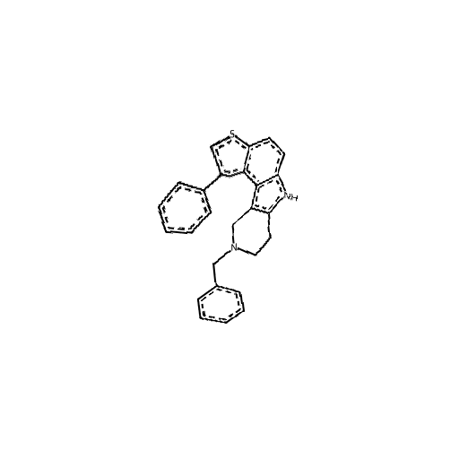 c1ccc(CN2CCc3[nH]c4ccc5scc(-c6ccccc6)c5c4c3C2)cc1